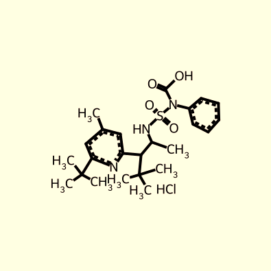 Cc1cc(C(C(C)NS(=O)(=O)N(C(=O)O)c2ccccc2)C(C)(C)C)nc(C(C)(C)C)c1.Cl